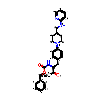 COC(=O)C(Cc1ccc(N2CCC(CNc3ccccn3)CC2)cc1)NC(=O)OCc1ccccc1